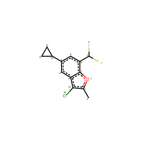 Cc1oc2c(C(F)F)cc(C3CC3)cc2c1Cl